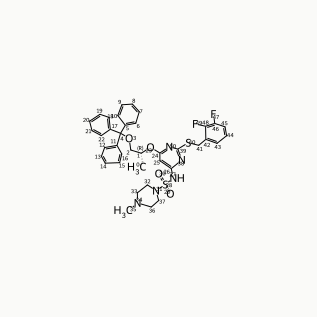 C[C@H](COC(c1ccccc1)(c1ccccc1)c1ccccc1)Oc1cc(NS(=O)(=O)N2CCN(C)CC2)nc(SCc2cccc(F)c2F)n1